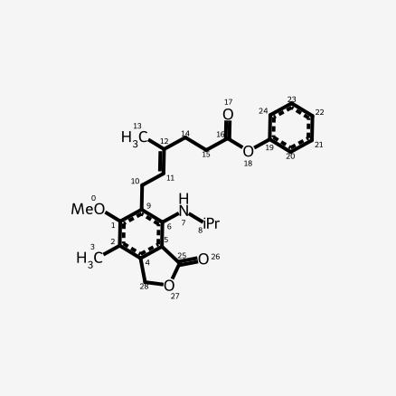 COc1c(C)c2c(c(NC(C)C)c1C/C=C(\C)CCC(=O)Oc1ccccc1)C(=O)OC2